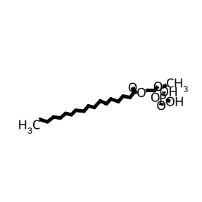 CCCCCCCCCCCCCCCCCC(=O)OCC(OCC)OP(=O)(O)O